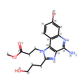 COC(=O)CCn1c(CCCO)nc2c(N)nc3cc(Br)ccc3c21